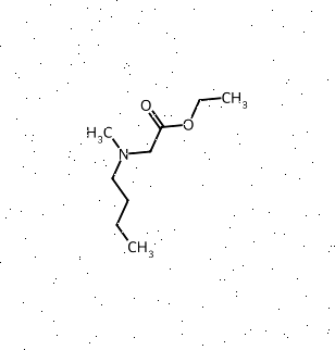 CCCCN(C)CC(=O)OCC